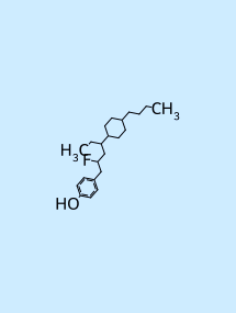 CCCCC1CCC(C(CC)CC(F)Cc2ccc(O)cc2)CC1